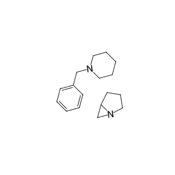 C1CC2CN2C1.c1ccc(CN2CCCCC2)cc1